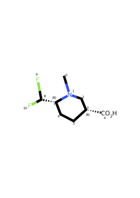 CN1C[C@H](C(=O)O)CC[C@@H]1C(F)F